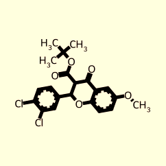 COc1ccc2c(c1)C(=O)C(C(=O)OC(C)(C)C)C(c1ccc(Cl)c(Cl)c1)O2